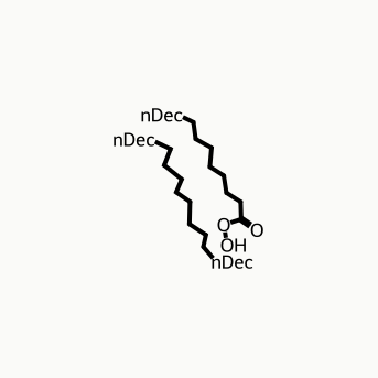 CCCCCCCCCCCCCCCCCC(=O)OO.CCCCCCCCCCCCCCCCCCCCCCCCCCCC